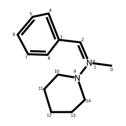 C[N+](=Cc1ccccc1)N1CCCCC1